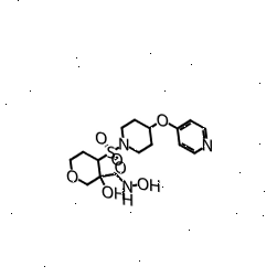 O=C(NO)C1(O)COCCC1S(=O)(=O)N1CCC(Oc2ccncc2)CC1